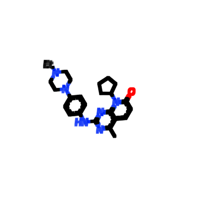 CCN1CCN(c2ccc(Nc3nc(C)c4ccc(=O)n(C5CCCC5)c4n3)cc2)CC1